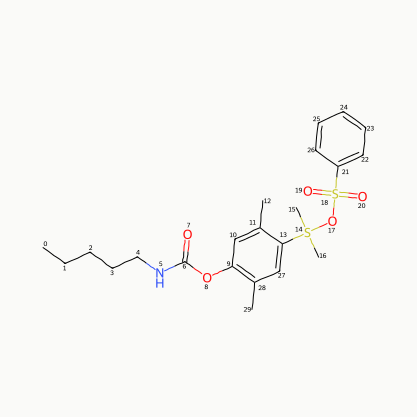 CCCCCNC(=O)Oc1cc(C)c(S(C)(C)OS(=O)(=O)c2ccccc2)cc1C